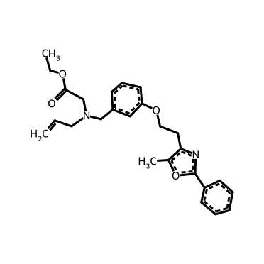 C=CCN(CC(=O)OCC)Cc1cccc(OCCc2nc(-c3ccccc3)oc2C)c1